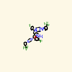 O=C1NCCC1(CC(c1ccc(F)cc1)N1CCN(c2cccc(C(F)(F)F)c2)CC1)CC(c1ccc(F)cc1)N1CCN(c2cccc(C(F)(F)F)c2)CC1